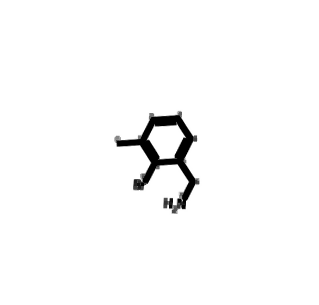 Cc1cccc(CN)c1Br